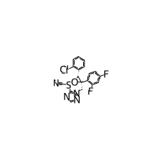 N#CSc1ncnn1C[C@]1(c2ccc(F)cc2F)O[C@@H]1c1ccccc1Cl